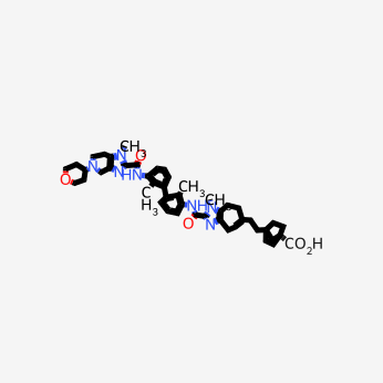 Cc1c(NC(=O)c2nc3c(n2C)CCC(CCC24CCC(C(=O)O)(CC2)C4)=CC3)cccc1-c1cccc(NC(=O)c2nc3c(n2C)CCN(C2CCOCC2)C3)c1C